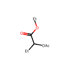 CCOC(=O)C(CC)OC(C)=O